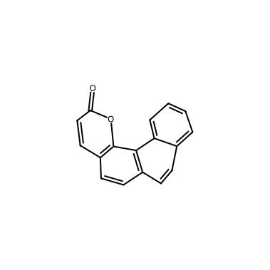 O=c1ccc2ccc3ccc4ccccc4c3c2o1